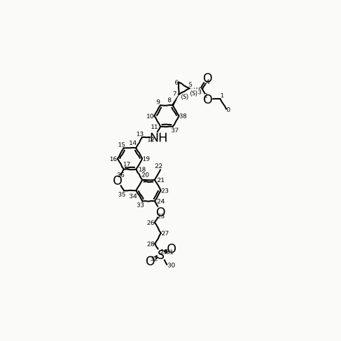 CCOC(=O)[C@H]1C[C@@H]1c1ccc(NCc2ccc3c(c2)-c2c(C)cc(OCCCS(C)(=O)=O)cc2CO3)cc1